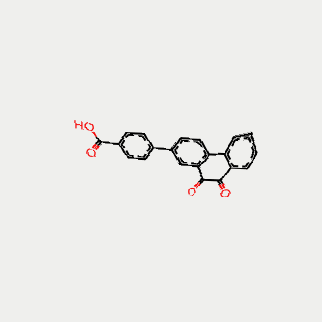 O=C(O)c1ccc(-c2ccc3c(c2)C(=O)C(=O)c2ccccc2-3)cc1